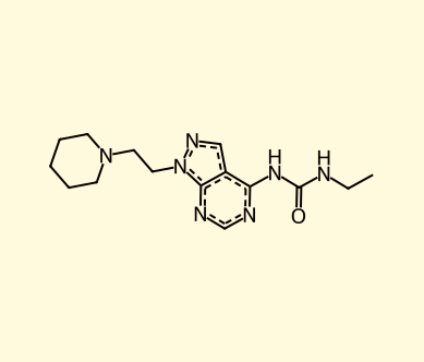 CCNC(=O)Nc1ncnc2c1cnn2CCN1CCCCC1